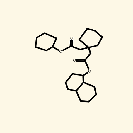 O=C(CC1(CC(=O)OC2CCCC3CCCCC32)CCCCC1)OC1CCCCC1